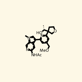 COCc1cc(-c2cn(C)c3cnc(NC(C)=O)cc23)nc(C2([C@@H](C)O)CCOC2)c1